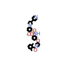 COc1ccc(N2CCC(c3ccncc3)C2)cc1S(=O)(=O)Nc1cccc(O[C@H]2CCN(C(=O)c3c(C)cccc3C)C2)c1